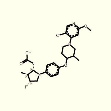 COc1cc(N2CCC(Oc3ccc(N4C[C@H](F)[C@@H](C)[C@@H]4CC(=O)O)cc3)C(C)C2)c(Cl)cn1